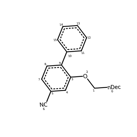 CCCCCCCCCCCOc1cc(C#N)ccc1-c1ccccc1